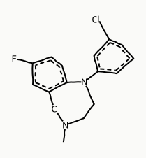 CN1CCN(c2cccc(Cl)c2)c2ccc(F)cc2C1